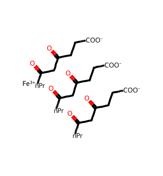 CCCC(=O)CC(=O)CCC(=O)[O-].CCCC(=O)CC(=O)CCC(=O)[O-].CCCC(=O)CC(=O)CCC(=O)[O-].[Fe+3]